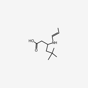 CC=CNC(CC(=O)O)CC(C)(C)C